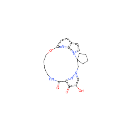 O=C1NCCCCOc2ccc3ccn(c3n2)C2(CCCC2)Cn2cc(O)c(=O)c1n2